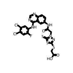 O=C(O)CSc1nn(CC(=O)Nc2ccc3ncnc(Nc4cc(Cl)c(Cl)cc4F)c3c2)c(=S)s1